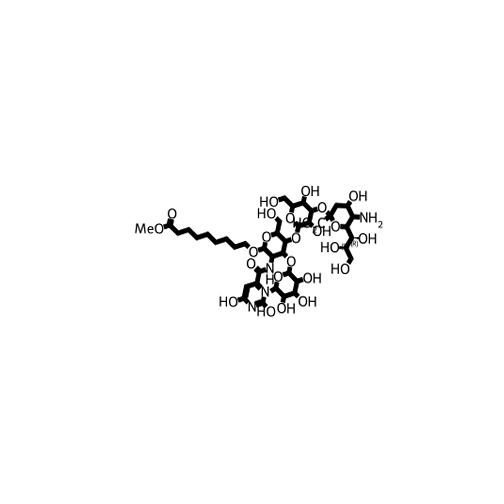 COC(=O)CCCCCCCCOC1OC(CO)C(OC2OC(CO)C(O)C(OC3(C(=O)O)CC(O)C(N)C([C@H](O)[C@H](O)CO)O3)C2O)C(OC2OC(C)C(O)C(O)C2O)C1NC(=O)c1cc(O)nc(O)n1